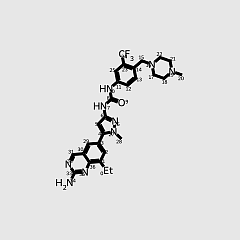 CCc1cc(-c2cc(NC(=O)Nc3ccc(CN4CCN(C)CC4)c(C(F)(F)F)c3)nn2C)cc2cnc(N)nc12